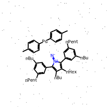 CCCCCCC1=C(c2cc(CCCC)cc(CCCCC)c2)[N+](=[N-])C(c2cc(CCCC)cc(CCCCC)c2)=C1CCCC.Cc1cc[c]([Pd][c]2ccc(C)cc2)cc1